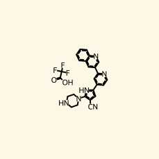 N#Cc1cc(-c2ccnc(-c3cnc4ccccc4c3)c2)[nH]c1N1CCNCC1.O=C(O)C(F)(F)F